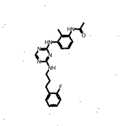 CC(=O)Nc1cccc(Nc2ncnc(NCCCc3ccccc3F)n2)c1C